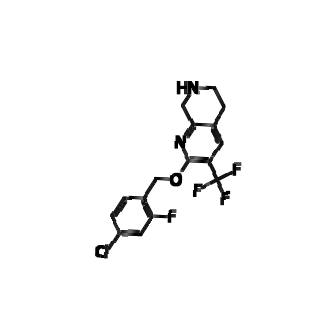 Fc1cc(Cl)ccc1COc1nc2c(cc1C(F)(F)F)CCNC2